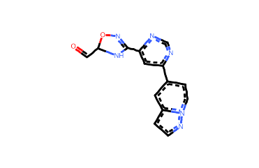 O=CC1NC(c2cc(-c3ccn4nccc4c3)ncn2)=NO1